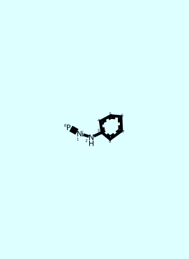 [P]#[Ni][NH]c1ccccc1